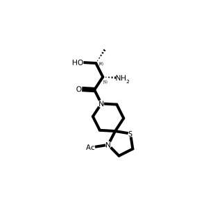 CC(=O)N1CCSC12CCN(C(=O)[C@@H](N)[C@@H](C)O)CC2